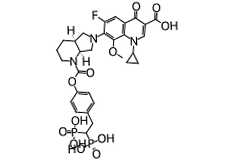 COc1c(N2C[C@@H]3CCCN(C(=O)Oc4ccc(CC(P(=O)(O)O)P(=O)(O)O)cc4)[C@@H]3C2)c(F)cc2c(=O)c(C(=O)O)cn(C3CC3)c12